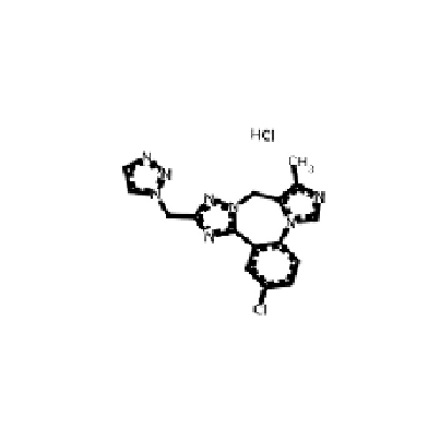 Cc1ncn2c1Cn1nc(Cn3ccnn3)nc1-c1cc(Cl)ccc1-2.Cl